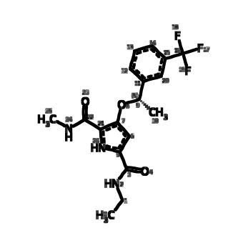 CCNC(=O)c1cc(O[C@@H](C)c2cccc(C(F)(F)F)c2)c(C(=O)NC)[nH]1